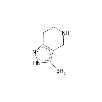 Bc1[nH]nc2c1CNCC2